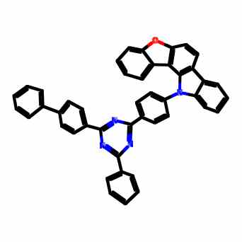 c1ccc(-c2ccc(-c3nc(-c4ccccc4)nc(-c4ccc(-n5c6ccccc6c6ccc7oc8ccccc8c7c65)cc4)n3)cc2)cc1